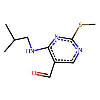 CSc1ncc(C=O)c(NCC(C)C)n1